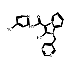 N#Cc1ccnc(NC(=O)c2c(O)n(Cc3cncnc3)c3cccc[n+]23)c1